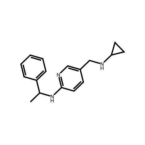 CC(Nc1ccc(CNC2CC2)cn1)c1ccccc1